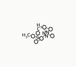 Cc1ccc([Si]2(c3ccc(C)cc3)c3ccccc3-c3ccc(-c4nc(-c5ccccc5)nc(-c5ccccc5-c5ccccc5)n4)cc32)cc1